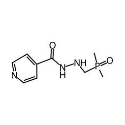 CP(C)(=O)CNNC(=O)c1ccncc1